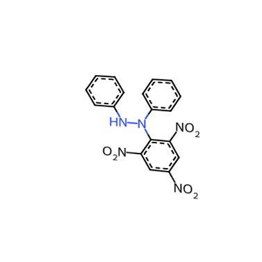 O=[N+]([O-])c1cc([N+](=O)[O-])c(N(Nc2ccccc2)c2ccccc2)c([N+](=O)[O-])c1